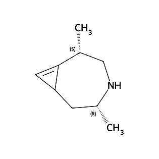 C[C@@H]1CC2C=C2[C@H](C)CN1